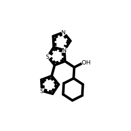 OC(c1c(-c2ccsc2)sc2cncn12)C1CCCCC1